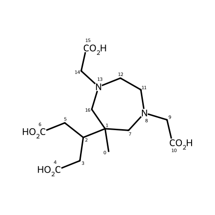 CC1(C(CC(=O)O)CC(=O)O)CN(CC(=O)O)CCN(CC(=O)O)C1